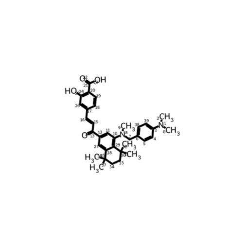 CN(C)c1ccc(CN(C)c2cc(C(=O)C=Cc3ccc(C(=O)O)c(O)c3)cc3c2C(C)(C)CCC3(C)C)cc1